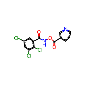 O=C(ONC(=O)c1cc(Cl)cc(Cl)c1Cl)c1cccnc1